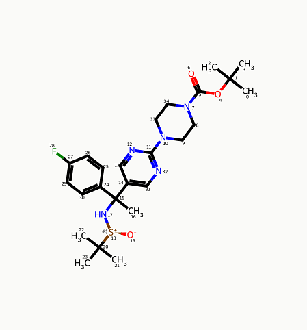 CC(C)(C)OC(=O)N1CCN(c2ncc(C(C)(N[S@@+]([O-])C(C)(C)C)c3ccc(F)cc3)cn2)CC1